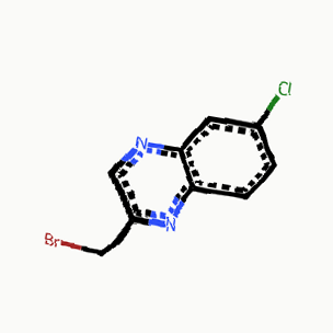 Clc1ccc2nc(CBr)cnc2c1